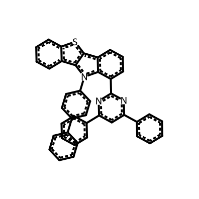 c1ccc(-c2ccc(-n3c4c(-c5nc(-c6ccccc6)cc(-c6ccccc6)n5)cccc4c4sc5ccccc5c43)cc2)cc1